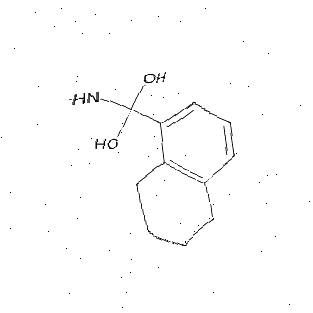 [NH]C(O)(O)c1cccc2c1CCCC2